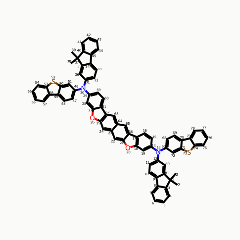 CC1(C)c2ccccc2-c2ccc(N(c3ccc4c(c3)oc3cc5cc6oc7cc(N(c8ccc9c(c8)C(C)(C)c8ccccc8-9)c8ccc9c(c8)sc8ccccc89)ccc7c6cc5cc34)c3ccc4c(c3)sc3ccccc34)cc21